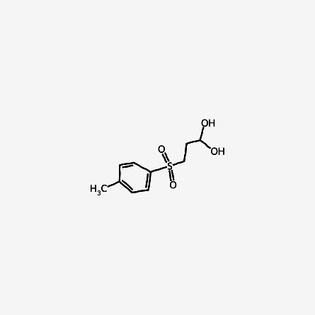 Cc1ccc(S(=O)(=O)CCC(O)O)cc1